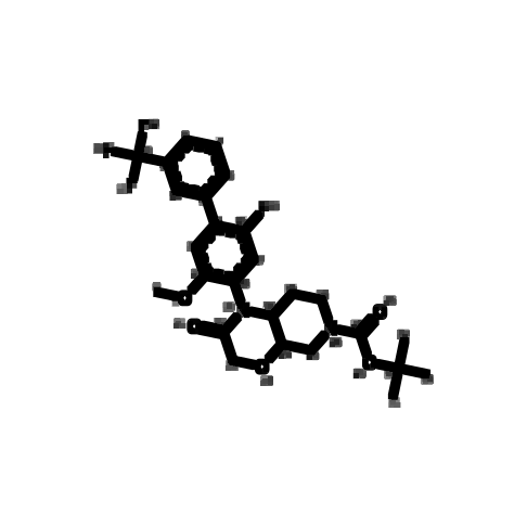 COc1cc(-c2cccc(C(F)(F)F)c2)c(F)cc1N1C(=O)COC2CN(C(=O)OC(C)(C)C)CCC21